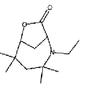 CCN1C2CC(OC2=O)C(C)(C)CC1(C)C